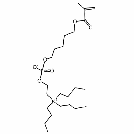 C=C(C)C(=O)OCCCCCOP(=O)([O-])OCC[N+](CCCC)(CCCC)CCCC